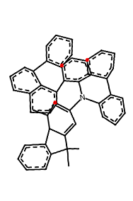 CC1C=C(N(c2ccccc2-c2ccccc2)c2ccccc2-c2cccc3cccc(-c4ccccc4)c23)C=C2C1c1ccccc1C2(C)C